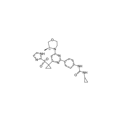 C[C@H]1COCCN1c1cc(C2(S(=O)(=O)c3ncc[nH]3)CC2)nc(-c2ccc(NC(=O)NC3CC3)cc2)n1